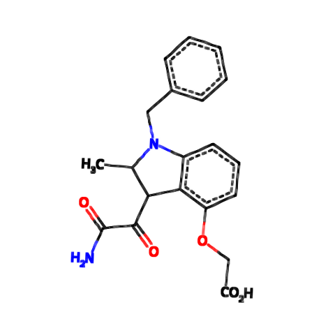 CC1C(C(=O)C(N)=O)c2c(OCC(=O)O)cccc2N1Cc1ccccc1